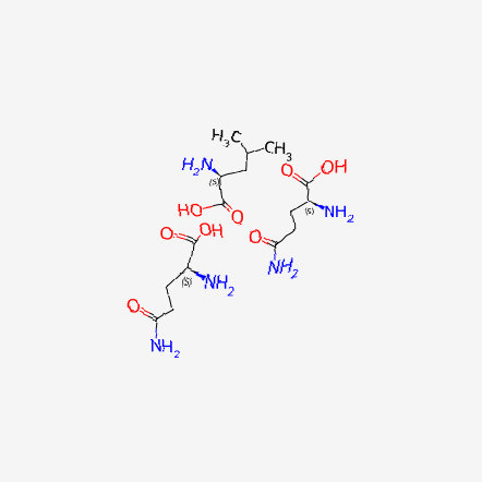 CC(C)C[C@H](N)C(=O)O.NC(=O)CC[C@H](N)C(=O)O.NC(=O)CC[C@H](N)C(=O)O